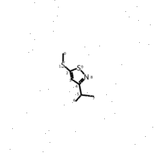 CSc1cc(C(C)C)ns1